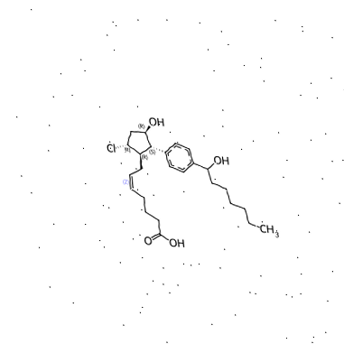 CCCCCCC(O)c1ccc([C@@H]2[C@@H](C/C=C\CCCC(=O)O)[C@H](Cl)C[C@H]2O)cc1